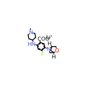 CN1CCC(Nc2cc(F)c(N3C[C@@H]4C[C@H]3CO4)cc2C(=O)[O-])CC1.[Li+]